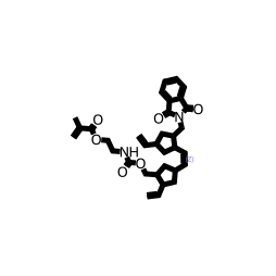 C=CC1CC(/C=C\C2CC(C=C)C(COC(=O)NCCOC(=O)C(=C)C)C2)C(CN2C(=O)c3ccccc3C2=O)C1